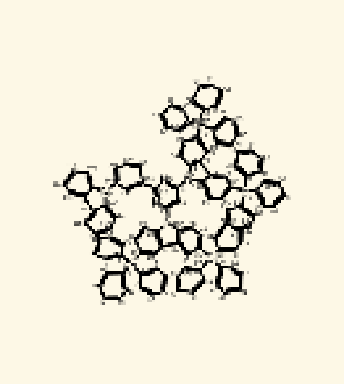 c1ccc([Si](c2ccccc2)(c2ccccc2)c2ccc3c(c2)c2cc([Si](c4ccccc4)(c4ccccc4)c4ccccc4)ccc2n3-c2cc(-n3c4ccc([Si](c5ccccc5)(c5ccccc5)c5ccccc5)cc4c4cc(S(c5ccccc5)(c5ccccc5)c5ccccc5)ccc43)nc(-c3cccc(-n4c5ccccc5c5ccccc54)c3)n2)cc1